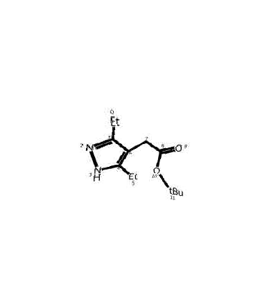 CCc1n[nH]c(CC)c1CC(=O)OC(C)(C)C